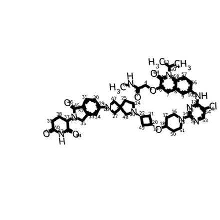 CNC(=O)COc1cc2cc(Nc3nc(N4CCC(O[C@H]5C[C@H](N6CCC7(CN(c8ccc9c(c8)CN(C8CCC(=O)NC8=O)C9=O)C7)C6)C5)CC4)ncc3Cl)ccc2n(C(C)C)c1=O